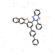 C1=CC2SC1c1cc3sc4c(-c5nc6ccccc6nc5-c5ccccc5)cc(-c5ccc(-c6ccccc6)cc5)cc4c3cc12